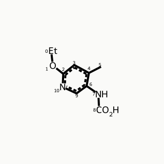 CCOc1cc(C)c(NC(=O)O)cn1